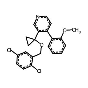 COc1ccccc1-c1ccncc1C1(OCc2cc(Cl)ccc2Cl)CC1